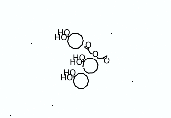 C(OCC1CO1)C1CO1.OC1(O)CCCCCCCCC1.OC1(O)CCCCCCCCC1.OC1(O)CCCCCCCCC1